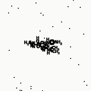 CCC(CC)Nc1nc(N[C@H]2CC[C@H](N)CC2)nc2c1ncn2[C@@H]1O[C@H](c2nnn(C)n2)[C@@H](O)[C@H]1O